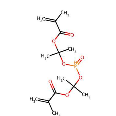 C=C(C)C(=O)OC(C)(C)O[PH](=O)OC(C)(C)OC(=O)C(=C)C